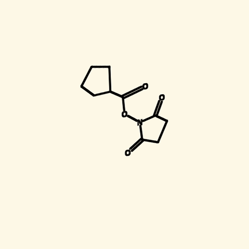 O=C(ON1C(=O)CCC1=O)C1CCCC1